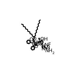 C#C[C@]1(CO[P@](=O)(N[C@@H](Cc2ccccc2)C(=O)OC(CCCCCCCCCCC)CCCCCCCCCCC)Oc2ccccc2)O[C@@H](n2cnc3c(N)nc(F)nc32)C[C@@H]1O